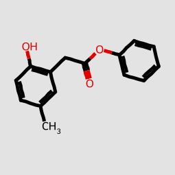 Cc1ccc(O)c(CC(=O)Oc2ccccc2)c1